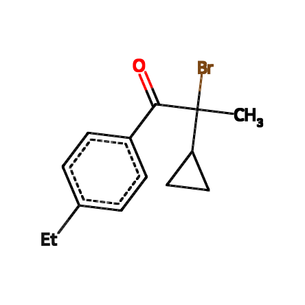 CCc1ccc(C(=O)C(C)(Br)C2CC2)cc1